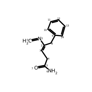 C=N/C(=C/CC(N)=O)Cc1ccccc1